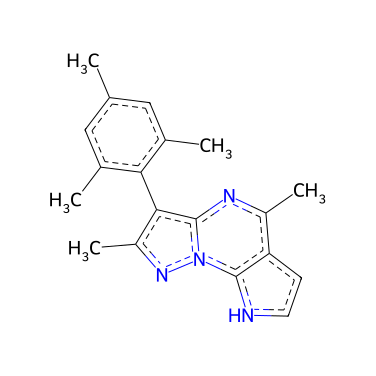 Cc1cc(C)c(-c2c(C)nn3c2nc(C)c2cc[nH]c23)c(C)c1